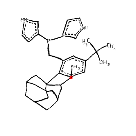 CC(C)(C)c1ccc(C23CC4CC(CC(C4)C2CP)C3)c(CP(c2cc[nH]c2)c2cc[nH]c2)c1